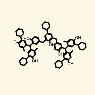 Cc1cc(O)c(C2CCCCC2)cc1C(c1cc(C2CCCCC2)c(O)cc1C)c1cc(Cc2cc(C3CCCCC3)cc(Cc3ccc(O)c(C(c4cc(C5CCCCC5)c(O)cc4C)c4cc(C5CCCCC5)c(O)cc4C)c3)c2O)ccc1O